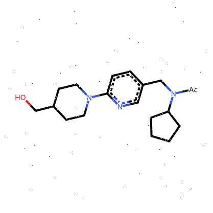 CC(=O)N(Cc1ccc(N2CCC(CO)CC2)nc1)C1CCCC1